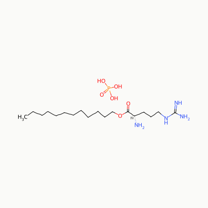 CCCCCCCCCCCCOC(=O)[C@@H](N)CCCNC(=N)N.O=P(O)(O)O